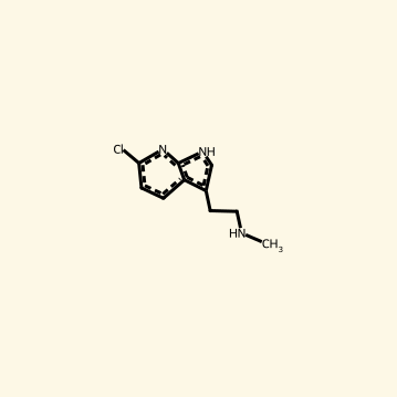 CNCCc1c[nH]c2nc(Cl)ccc12